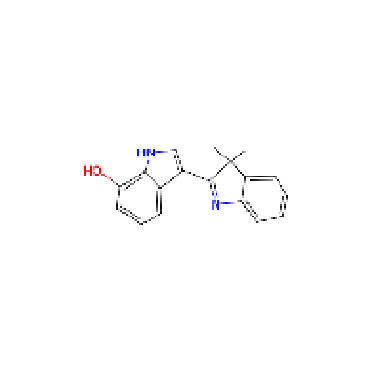 CC1(C)C(c2c[nH]c3c(O)cccc23)=Nc2ccccc21